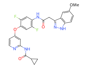 COc1ccc2[nH]nc(CC(=O)Nc3cc(F)c(Oc4ccnc(NC(=O)C5CC5)c4)cc3F)c2c1